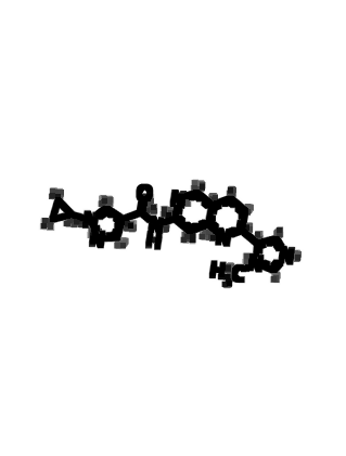 Cn1cncc1-c1ccc2cnc(NC(=O)c3cnn(C4CC4)c3)cc2n1